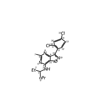 CCCC(CC)Nc1nc(C)nc2c(-c3ccc(Cl)cc3Cl)noc12